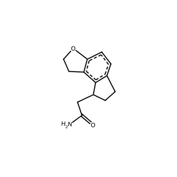 NC(=O)CC1CCc2ccc3c(c21)CCO3